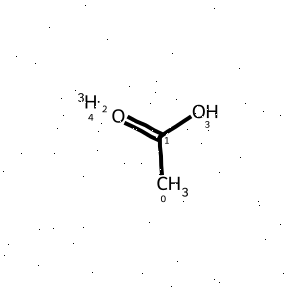 CC(=O)O.[3H]